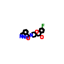 O=C1CC2(CCN(C(=O)c3cccc4cn[nH]c34)CC2)Oc2cc(F)ccc21